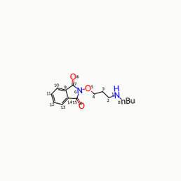 CCCCNCCCON1C(=O)c2ccccc2C1=O